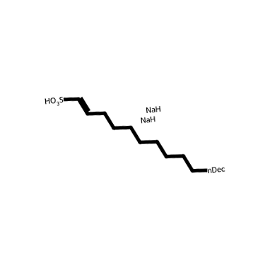 CCCCCCCCCCCCCCCCCCC=CS(=O)(=O)O.[NaH].[NaH]